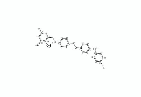 Cc1cc(COc2ccc(COc3ccc(Oc4ccc(Cl)cc4)cc3)cc2)n(O)c(=O)c1